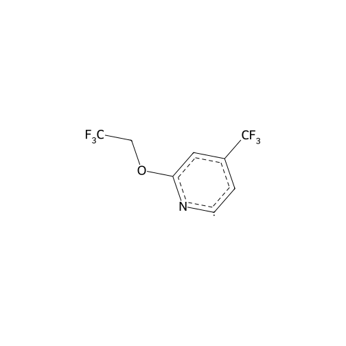 FC(F)(F)COc1cc(C(F)(F)F)c[c]n1